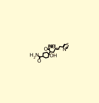 NC(=O)C1CCC(O)(C(CC(O)[CH]Cc2cscn2)C(N)=O)CC1